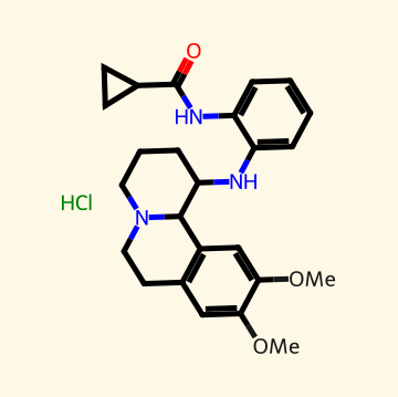 COc1cc2c(cc1OC)C1C(Nc3ccccc3NC(=O)C3CC3)CCCN1CC2.Cl